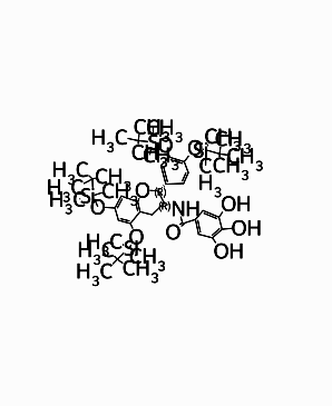 CC(C)(C)[Si](C)(C)Oc1cc2c(c(O[Si](C)(C)C(C)(C)C)c1)C[C@@H](NC(=O)c1cc(O)c(O)c(O)c1)[C@@H](c1ccc(O[Si](C)(C)C(C)(C)C)c(O[Si](C)(C)C(C)(C)C)c1)O2